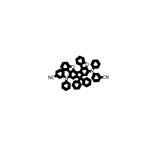 N#Cc1cccc(N(c2ccccc2)c2cc3c(c4c2oc2ccccc24)-c2c(cc(N(c4ccccc4)c4cccc(C#N)c4)c4c2oc2ccccc24)C3(c2ccccc2)c2ccccc2)c1